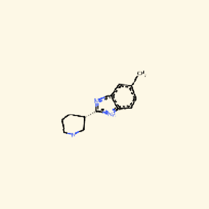 Cc1ccc2[nH]c([C@H]3CCC[N]C3)nc2c1